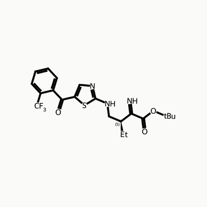 CC[C@@H](CNc1ncc(C(=O)c2ccccc2C(F)(F)F)s1)C(=N)C(=O)OC(C)(C)C